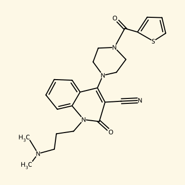 CN(C)CCCn1c(=O)c(C#N)c(N2CCN(C(=O)c3cccs3)CC2)c2ccccc21